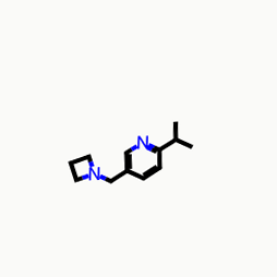 CC(C)c1ccc(CN2CCC2)cn1